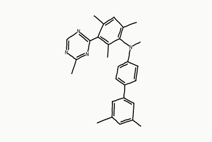 Cc1cc(C)cc(-c2ccc(N(C)c3c(C)cc(C)c(-c4ncnc(C)n4)c3C)cc2)c1